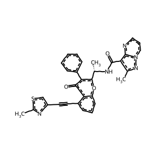 Cc1nc(C#Cc2cccc3oc([C@H](C)NC(=O)c4c(C)nn5cccnc45)c(-c4ccccc4)c(=O)c23)cs1